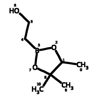 CC1OB(CCO)OC1(C)C